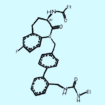 CCNC(=O)NCc1ccccc1-c1ccc(CN2C(=O)[C@H](NC(=O)CC)CCc3cc(F)ccc32)cc1